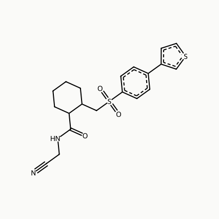 N#CCNC(=O)C1CCCCC1CS(=O)(=O)c1ccc(-c2ccsc2)cc1